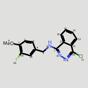 COc1ccc(CNc2nnc(Cl)c3ccccc23)cc1F